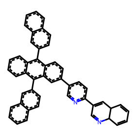 C1=CC2C=C(c3ccc(-c4ccc5c(-c6ccc7ccccc7c6)c6ccccc6c(-c6ccc7ccccc7c6)c5c4)cn3)C=NC2C=C1